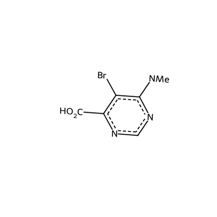 CNc1ncnc(C(=O)O)c1Br